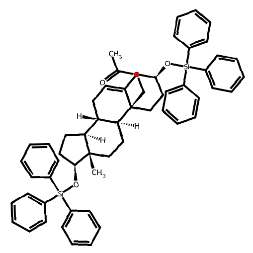 CC(=O)OC[C@]12CC[C@H](O[Si](c3ccccc3)(c3ccccc3)c3ccccc3)CC1=CC[C@@H]1[C@@H]2CC[C@]2(C)[C@@H](O[Si](c3ccccc3)(c3ccccc3)c3ccccc3)CC[C@@H]12